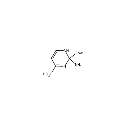 CSC1(N)N=C(C(=O)O)C=CN1